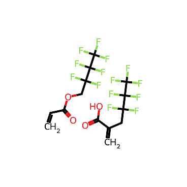 C=C(CC(F)(F)C(F)(F)C(F)(F)F)C(=O)O.C=CC(=O)OCC(F)(F)C(F)(F)C(F)(F)F